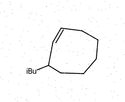 C[CH]C(C)C1C=CCCCCC1